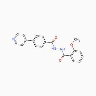 COc1ccccc1C(=O)NNC(=O)c1ccc(-c2ccncc2)cc1